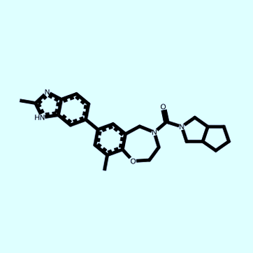 Cc1nc2ccc(-c3cc(C)c4c(c3)CN(C(=O)N3CC5CCCC5C3)CCO4)cc2[nH]1